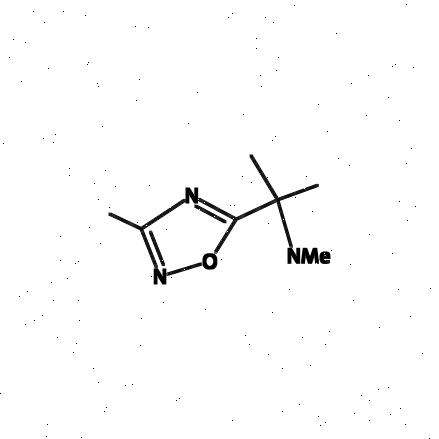 CNC(C)(C)c1nc(C)no1